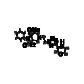 CCC(=O)N(c1ccccc1)C1(COC)CCN(CCn2nnc(C3COCCN3)n2)CC1